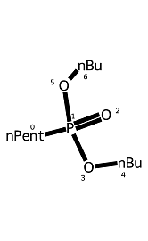 CCCCCP(=O)(OCCCC)OCCCC